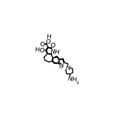 Cn1c(CN2CCC(N)CC2)cc2cc3c(cc21)CCCc1c-3[nH]c(=O)c(C(=O)O)c1O